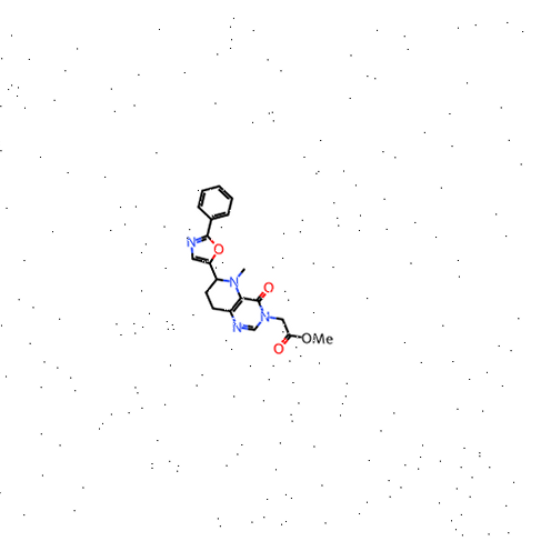 COC(=O)Cn1cnc2c(c1=O)N(C)C(c1cnc(-c3ccccc3)o1)CC2